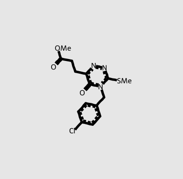 COC(=O)CCc1nnc(SC)n(Cc2ccc(Cl)cc2)c1=O